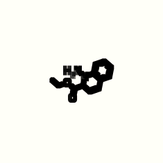 CCOC(=O)C1C=Cc2ccccc2N1N